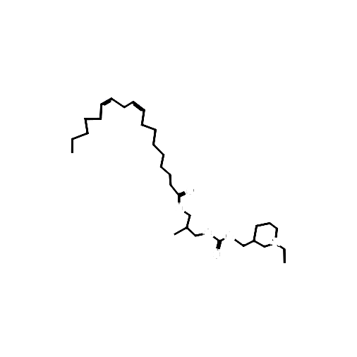 CCCCC/C=C\C/C=C\CCCCCCCC(=O)OCC(C)COC(=O)OCC1CCCN(CC)C1